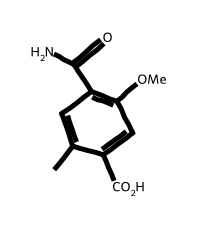 COc1cc(C(=O)O)c(C)cc1C(N)=O